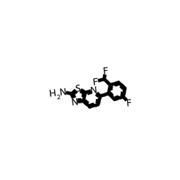 Nc1nc2ccc(-c3cc(F)ccc3C(F)F)nc2s1